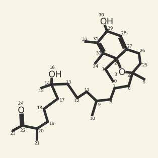 CCC12OC(C)(CCCC(C)CCCC(C)(O)CCCC(C)C(C)=O)CCC1=CC(O)C(C)=C2C